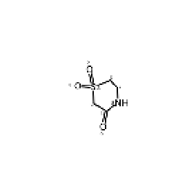 O=C1[CH]S(=O)(=O)CCN1